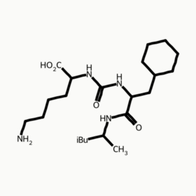 CCC(C)C(C)NC(=O)C(CC1CCCCC1)NC(=O)NC(CCCCN)C(=O)O